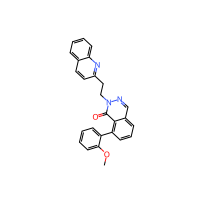 COc1ccccc1-c1cccc2cnn(CCc3ccc4ccccc4n3)c(=O)c12